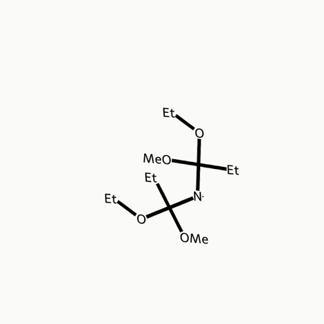 CCOC(CC)([N]C(CC)(OC)OCC)OC